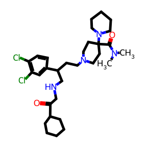 CN(C)C(=O)C1(N2CCCCC2)CCN(CCC(CNCC(=O)C2CCCCC2)c2ccc(Cl)c(Cl)c2)CC1